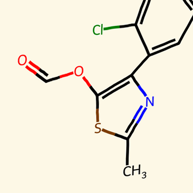 Cc1nc(-c2ccccc2Cl)c(OC=O)s1